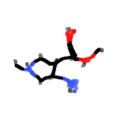 COC(=O)C1CN(C)CC1N